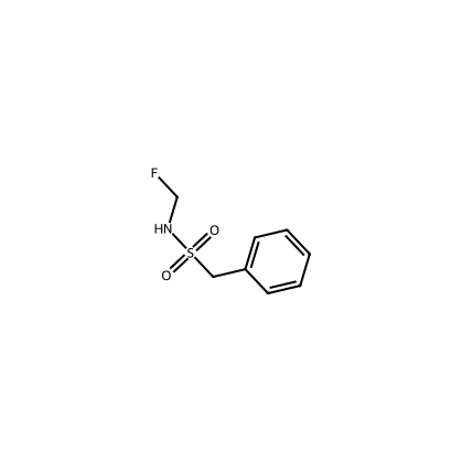 O=S(=O)(Cc1ccccc1)NCF